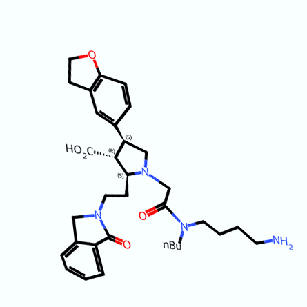 CCCCN(CCCCN)C(=O)CN1C[C@H](c2ccc3c(c2)CCO3)[C@@H](C(=O)O)[C@@H]1CCN1Cc2ccccc2C1=O